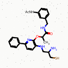 CC(=O)Nc1cccc(CNC(=O)C(C)Oc2nc(-c3ccccc3)ccc2NCC(N)CS)c1